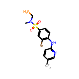 CN(CP)S(=O)(=O)c1ccc(Nc2ccc(C(F)(F)F)cn2)c(Br)c1